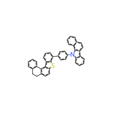 c1ccc2c(c1)CCc1ccc3sc4c(-c5ccc(-n6c7ccccc7c7ccc8ccccc8c76)cc5)cccc4c3c1-2